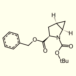 CC(C)(C)OC(=O)N1[C@@H](C(=O)OCc2ccccc2)C[C@H]2C[C@H]21